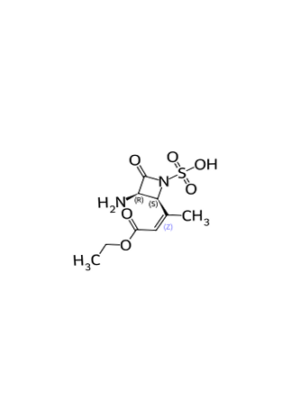 CCOC(=O)/C=C(/C)[C@H]1[C@@H](N)C(=O)N1S(=O)(=O)O